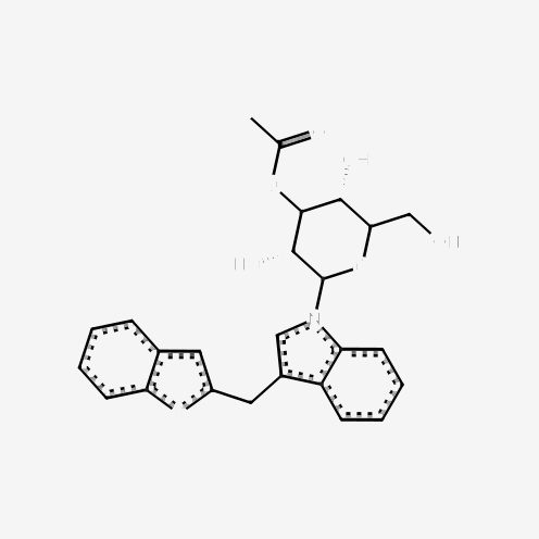 CC(=O)OC1[C@H](O)C(CO)OC(n2cc(Cc3cc4ccccc4s3)c3ccccc32)[C@@H]1O